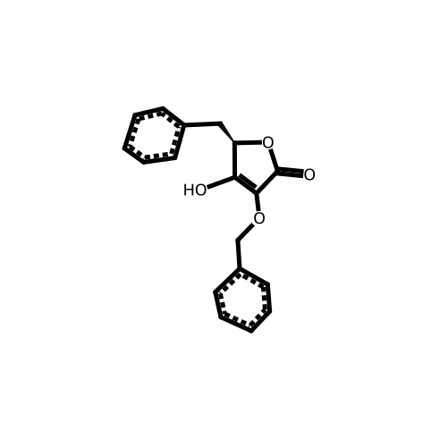 O=C1O[C@H](Cc2ccccc2)C(O)=C1OCc1ccccc1